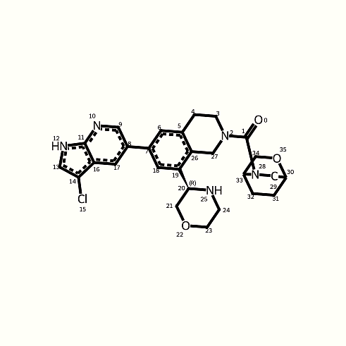 O=C(N1CCc2cc(-c3cnc4[nH]cc(Cl)c4c3)cc([C@@H]3COCCN3)c2C1)N1CC2CCC1CO2